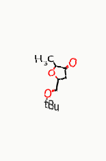 CC1OC(COC(C)(C)C)CC1=O